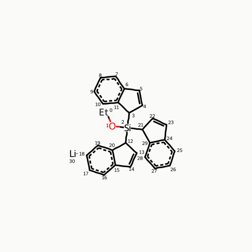 CCO[Si](C1C=Cc2ccccc21)(C1C=Cc2ccccc21)C1C=Cc2ccccc21.[Li]